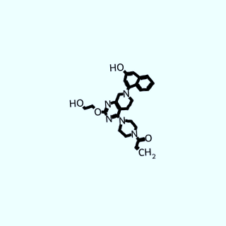 C=CC(=O)N1CCN(c2nc(OCCO)nc3c2CCN(c2cc(O)cc4ccccc24)C3)CC1